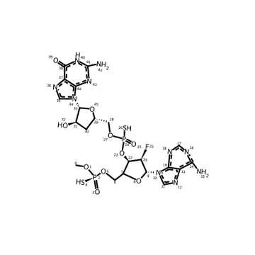 CO[P@](=O)(S)OCC1O[C@@H](n2cnc3c(N)ncnc32)[C@H](F)[C@@H]1OP(=O)(S)OC[C@@H]1C[C@@H](O)[C@H](n2cnc3c(=O)[nH]c(N)nc32)O1